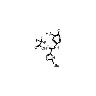 CC(C)(C)c1nc(C(=O)Nc2cnc(Cl)c(N)c2)cs1.O=C(O)C(F)(F)F